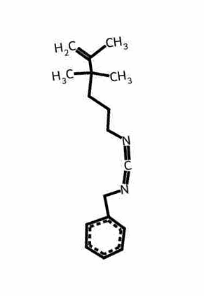 C=C(C)C(C)(C)CCCN=C=NCc1ccccc1